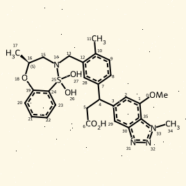 COc1cc(C(CC(=O)O)c2ccc(C)c(CN3C[C@H](C)Oc4ccccc4S3(O)O)c2)cc2nnn(C)c12